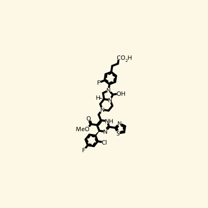 COC(=O)C1=C(CN2CCN3C(O)N(c4ccc(CCC(=O)O)cc4F)C[C@@H]3C2)NC(c2nccs2)=N[C@H]1c1ccc(F)cc1Cl